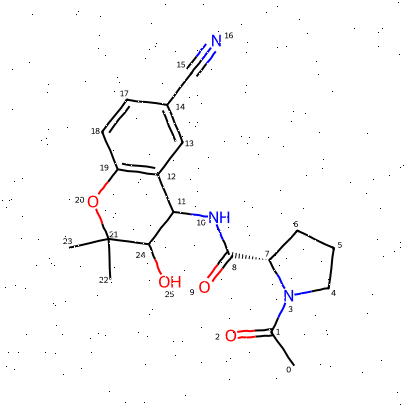 CC(=O)N1CCC[C@H]1C(=O)NC1c2cc(C#N)ccc2OC(C)(C)C1O